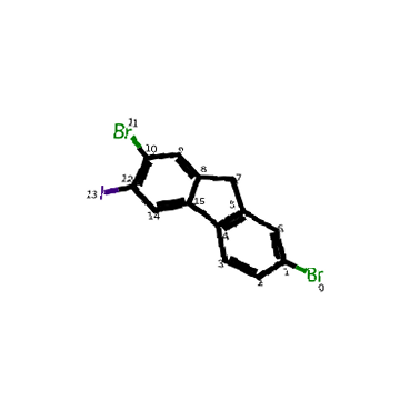 Brc1ccc2c(c1)Cc1cc(Br)c(I)cc1-2